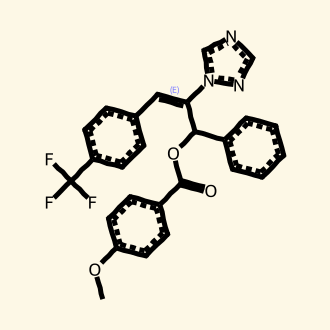 COc1ccc(C(=O)OC(/C(=C\c2ccc(C(F)(F)F)cc2)n2cncn2)c2ccccc2)cc1